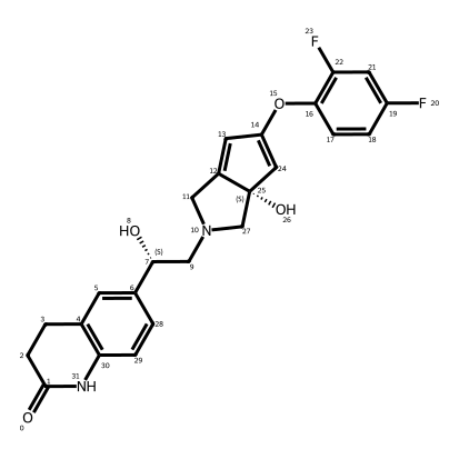 O=C1CCc2cc([C@H](O)CN3CC4=CC(Oc5ccc(F)cc5F)=C[C@@]4(O)C3)ccc2N1